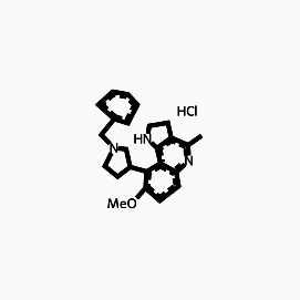 COc1ccc2nc(C)c3c(c2c1C1CCN(Cc2ccccc2)C1)NCC3.Cl